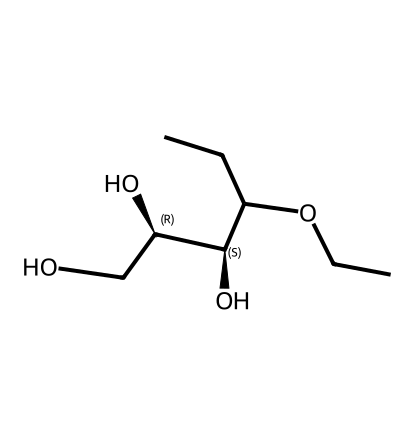 CCOC(CC)[C@@H](O)[C@H](O)CO